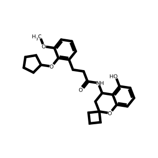 COc1cccc(CCC(=O)NC2CC3(CCC3)Oc3cccc(O)c32)c1OC1CCCC1